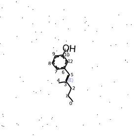 CCC/C(C)=C/c1cccc(O)c1